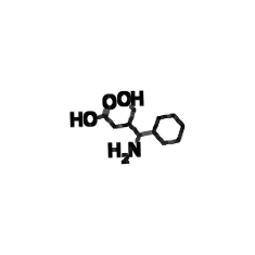 NC(C1CCCCC1)C(CO)CC(=O)O